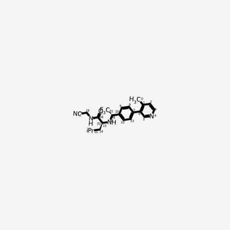 Cc1ccncc1-c1ccc([C@H](N[C@@H](CC(C)C)C(=O)NCC#N)C(F)(F)F)cc1